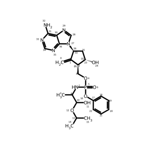 C=C1[C@H](COP(=O)(NC(C)C(O)OC(C)C)Oc2ccccc2)[C@@H](O)C[C@@H]1n1cnc2c(N)ncnc21